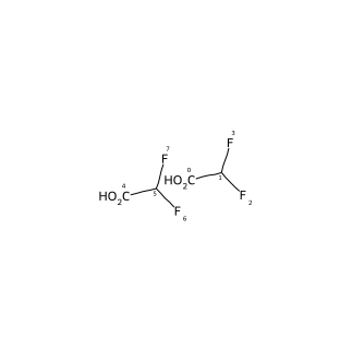 O=C(O)C(F)F.O=C(O)C(F)F